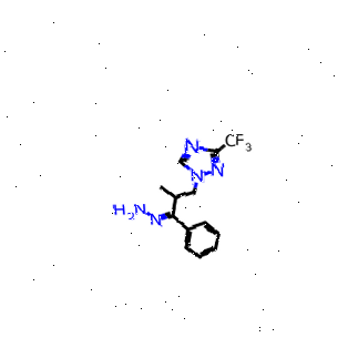 CC(Cn1cnc(C(F)(F)F)n1)C(=NN)c1ccccc1